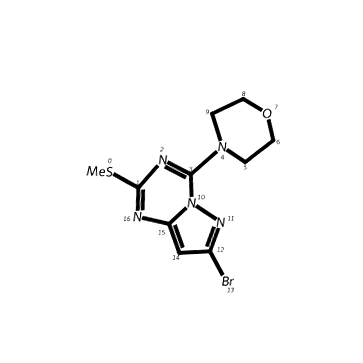 CSc1nc(N2CCOCC2)n2nc(Br)cc2n1